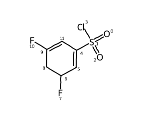 O=S(=O)(Cl)C1=CC(F)CC(F)=C1